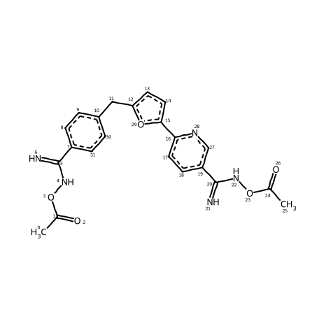 CC(=O)ONC(=N)c1ccc(Cc2ccc(-c3ccc(C(=N)NOC(C)=O)cn3)o2)cc1